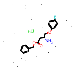 Cl.N[C@@H](COc1ccc(F)cc1)CC(=O)OCc1ccccc1